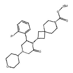 CC(C)c1ccccc1C1CN(C2CCOCC2)CC(=O)N1C1CC2(CCN(C(=O)OC(C)(C)C)CC2)C1